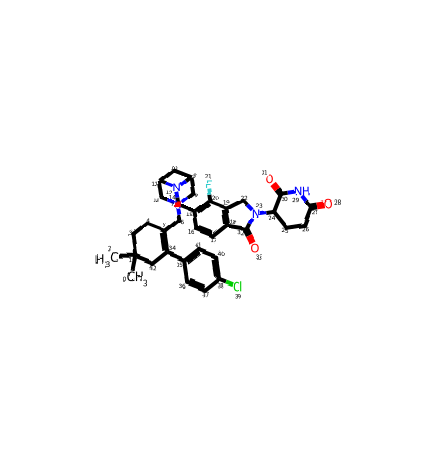 CC1(C)CCC(CN2CC3CC(C2)N3Cc2ccc3c(c2F)CN(C2CCC(=O)NC2=O)C3=O)=C(c2ccc(Cl)cc2)C1